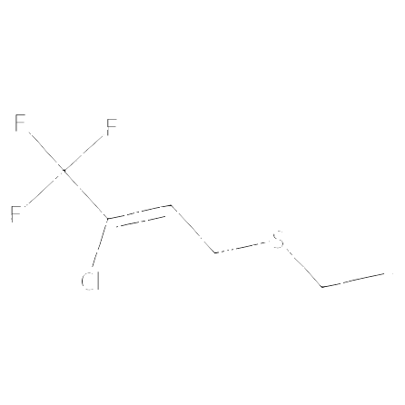 [CH2]CSCC=C(Cl)C(F)(F)F